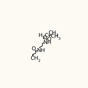 C=CCC(=O)NCCCNC(=O)OC(C)(C)C